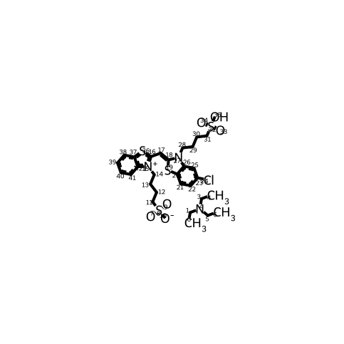 CCN(CC)CC.O=S(=O)([O-])CCCC[n+]1c(C=C2Sc3ccc(Cl)cc3N2CCCCS(=O)(=O)O)sc2ccccc21